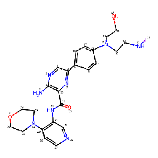 Nc1ncc(-c2ccc(N(CCO)CCNI)cc2)nc1C(=O)Nc1cnccc1N1CCOCC1